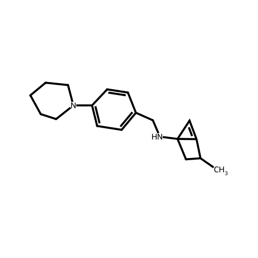 CC1CC2(NCc3ccc(N4CCCCC4)cc3)C=C12